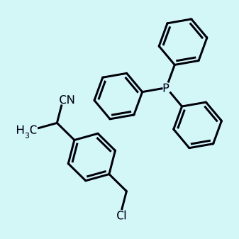 CC(C#N)c1ccc(CCl)cc1.c1ccc(P(c2ccccc2)c2ccccc2)cc1